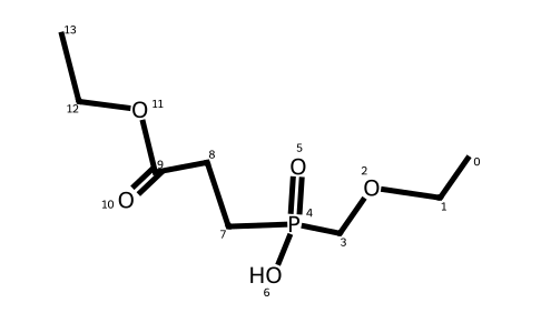 CCOCP(=O)(O)CCC(=O)OCC